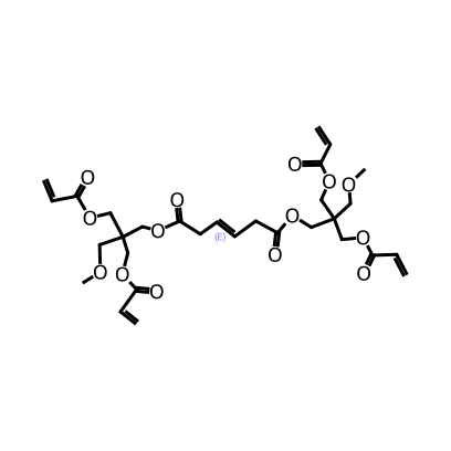 C=CC(=O)OCC(COC)(COC(=O)C=C)COC(=O)C/C=C/CC(=O)OCC(COC)(COC(=O)C=C)COC(=O)C=C